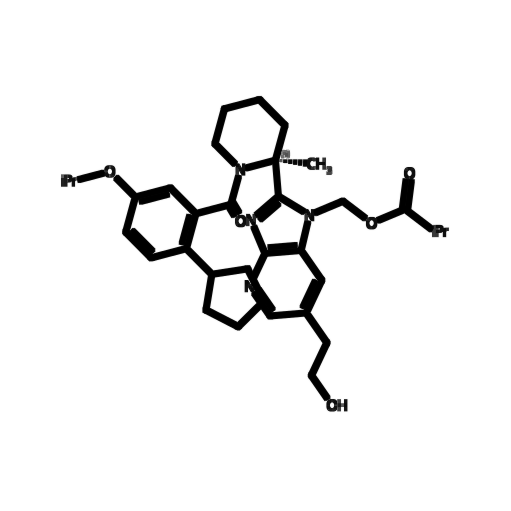 CC(C)Oc1ccc(C2CCCC2)c(C(=O)N2CCCC[C@@]2(C)c2nc3ncc(CCO)cc3n2COC(=O)C(C)C)c1